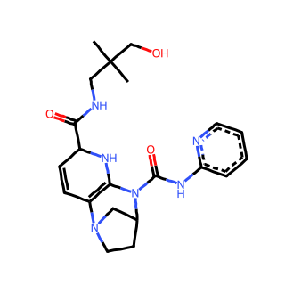 CC(C)(CO)CNC(=O)C1C=CC2=C(N1)N(C(=O)Nc1ccccn1)C1CCN2C1